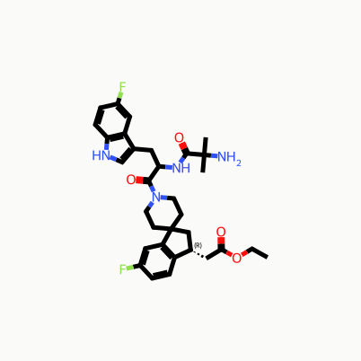 CCOC(=O)C[C@H]1CC2(CCN(C(=O)C(Cc3c[nH]c4ccc(F)cc34)NC(=O)C(C)(C)N)CC2)c2cc(F)ccc21